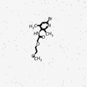 COCCOCC(=O)Nc1c(C)cc(Br)nc1C